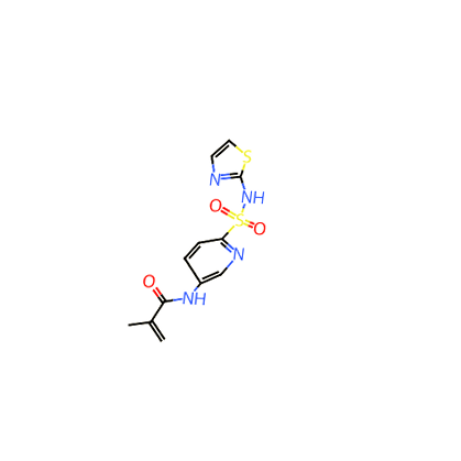 C=C(C)C(=O)Nc1ccc(S(=O)(=O)Nc2nccs2)nc1